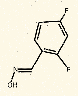 ON=Cc1c[c]c(F)cc1F